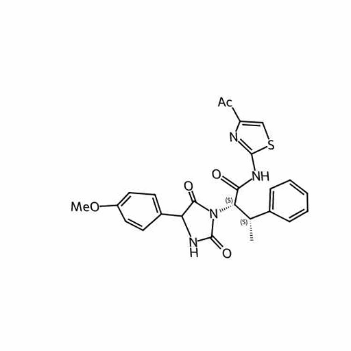 COc1ccc(C2NC(=O)N([C@H](C(=O)Nc3nc(C(C)=O)cs3)[C@@H](C)c3ccccc3)C2=O)cc1